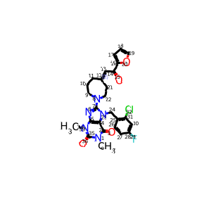 Cn1c(=O)c2c(nc(N3CCC/C(=C/C(=O)c4ccco4)CC3)n2Cc2ccc(F)cc2Cl)n(C)c1=O